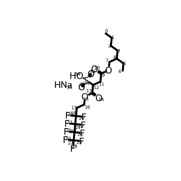 CCCCC(CC)COC(=O)CC(C(=O)OCCC(F)(F)C(F)(F)C(F)(F)C(F)(F)F)S(=O)(=O)O.[NaH]